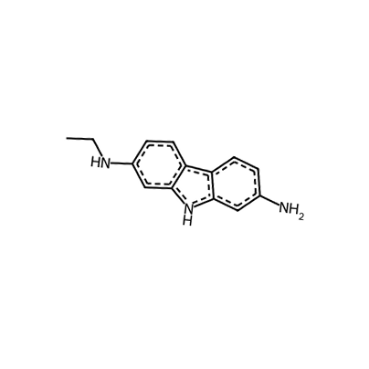 CCNc1ccc2c(c1)[nH]c1cc(N)ccc12